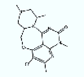 Cc1nc2c3c(nc(=O)n2C)N2C(C)CN(C)CC2COc3c1Cl